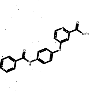 CNC(=O)c1cc(Oc2ccc(NC(=O)c3ccccc3)cc2)ccn1